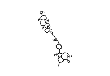 C[C@]12CC[C@@H](O)C[C@@H]1CC[C@@H]1[C@@H]2CC[C@]2(C)[C@@H](OCCNCc3ccc(-c4[nH]c5cc(F)cc6c5c4CCNC6=O)cc3)CC[C@@H]12